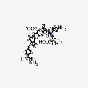 CC(C)(O/N=C(\C(=O)N[C@@H]1C(=O)N2C(C(=O)[O-])=C(C[n+]3ccc4c(ccn4Cc4ccc(C(=N)NN)cc4)c3)CS[C@H]12)c1csc(N)n1)C(=O)O